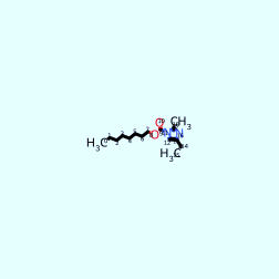 CCCCCCCCOC(=O)n1cc(CC)nc1C